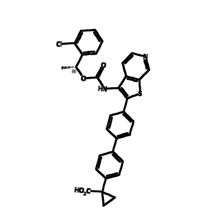 C[C@@H](OC(=O)Nc1c(-c2ccc(-c3ccc(C4(C(=O)O)CC4)cc3)cc2)sc2cnccc12)c1ccccc1Cl